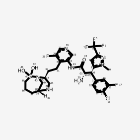 Cn1nc(C(F)(F)F)cc1[C@H](c1ccc(Cl)c(F)c1)[C@H](N)C(=O)Nc1cncc(F)c1CC[C@H]1CN[C@@H]2CCCS(O)(O)N1C2